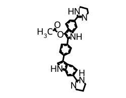 CC(=O)Oc1c(-c2ccc(-c3c[nH]c4cc(C5=NCCCN5)ccc34)cc2)[nH]c2cc(C3=NCCCN3)ccc12